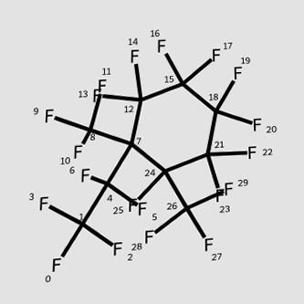 FC(F)(F)C(F)(F)C1(C(F)(F)F)C(F)(F)C(F)(F)C(F)(F)C(F)(F)C1(F)C(F)(F)F